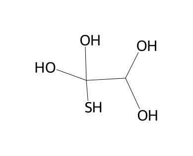 OC(O)C(O)(O)S